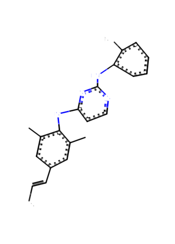 Cc1cc(/C=C/C#N)cc(C)c1Nc1ccnc(Nc2ccccc2C#N)n1